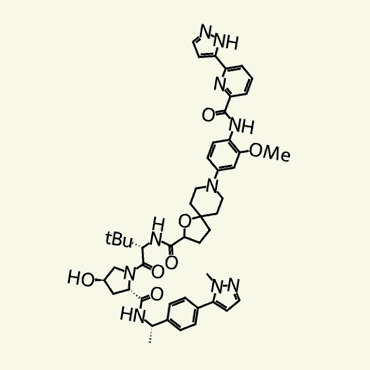 COc1cc(N2CCC3(CCC(C(=O)N[C@H](C(=O)N4C[C@H](O)C[C@H]4C(=O)N[C@@H](C)c4ccc(-c5ccnn5C)cc4)C(C)(C)C)O3)CC2)ccc1NC(=O)c1cccc(-c2ccn[nH]2)n1